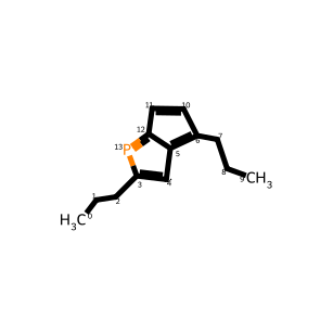 CCCC1=[C]C2=C(CCC)C=CC2=P1